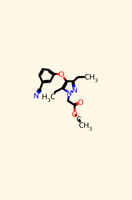 CCOC(=O)Cn1nc(CC)c(Oc2cccc(C#N)c2)c1CC